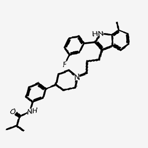 Cc1cccc2c(CCCN3CCC(c4cccc(NC(=O)C(C)C)c4)CC3)c(-c3cccc(F)c3)[nH]c12